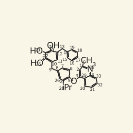 Cc1cc(Oc2ccc(Cc3cc(Cc4ccccc4)c(O)c(O)c3O)cc2C(C)C)c2ccccc2n1